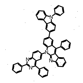 c1ccc(-c2nc(-c3ccccc3)c3cc(-n4c5nc6ccccc6c-5c(-c5ccccc5)c5cc(-c6ccc7c(c6)c6ccccc6n7-c6ccccc6)ccc54)ccc3n2)cc1